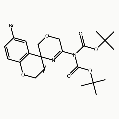 CC(C)(C)OC(=O)N(C(=O)OC(C)(C)C)C1=NC2(COC1)c1cc(Br)ccc1OCC21CC1